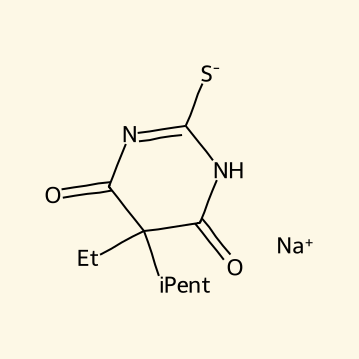 CCCC(C)C1(CC)C(=O)N=C([S-])NC1=O.[Na+]